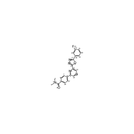 CN(C)C(=O)c1ccc(-c2cncc(-c3nnc(-c4cccc(F)c4)o3)n2)cc1